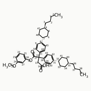 CCCC[C@H]1CC[C@H](c2ccc(C(CC(=O)O)(C(=O)Oc3cccc(OC)c3)c3ccc([C@H]4CC[C@H](CCCC)CC4)cc3)cc2)CC1